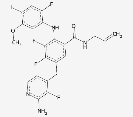 C=CCNC(=O)c1cc(Cc2ccnc(N)c2F)c(F)c(F)c1Nc1cc(OC)c(I)cc1F